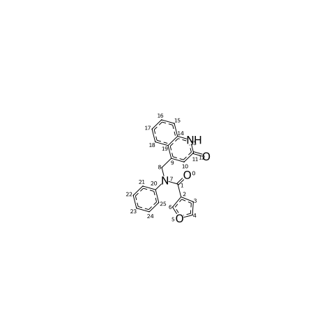 O=C(c1ccoc1)N(Cc1cc(=O)[nH]c2ccccc12)c1ccccc1